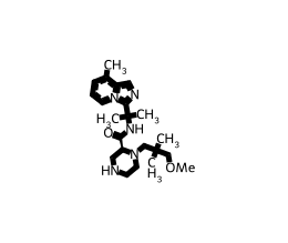 COCC(C)(C)CN1CCNC[C@H]1C(=O)NC(C)(C)c1ncc2c(C)cccn12